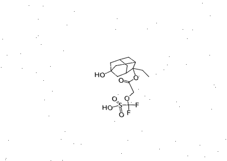 CCC1(OC(=O)COC(F)(F)S(=O)(=O)O)C2CC3CC1CC(O)(C3)C2